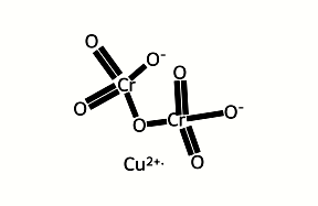 [Cu+2].[O]=[Cr](=[O])([O-])[O][Cr](=[O])(=[O])[O-]